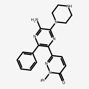 CC(C)n1nc(-c2nc(N3CCNCC3)c(N)nc2-c2ccccc2)ccc1=O